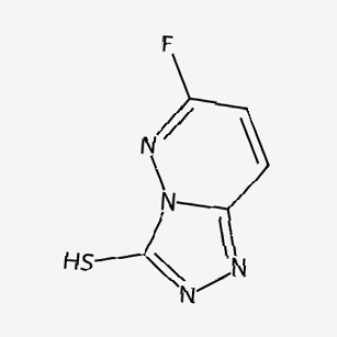 Fc1ccc2nnc(S)n2n1